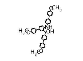 COc1ccc(-c2ccc(Nc3ccc(-c4ccc(OC)cc4)cc3C(O)c3ccc(-c4ccc(OC)cc4)cc3)cc2)cc1